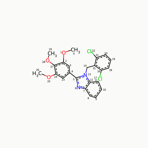 COc1cc(-c2nc3ccccc3n2Cc2c(Cl)cccc2Cl)cc(OC)c1OC